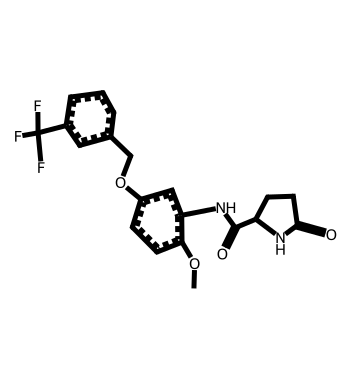 COc1ccc(OCc2cccc(C(F)(F)F)c2)cc1NC(=O)C1CCC(=O)N1